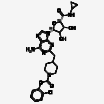 Nc1nc(CC2CCN(C(=O)Oc3ccccc3Cl)CC2)nc2c1ncn2[C@@H]1O[C@H](C(=O)NC2CC2)C(O)C1O